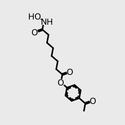 CC(=O)c1ccc(OC(=O)CCCCCCC(=O)NO)cc1